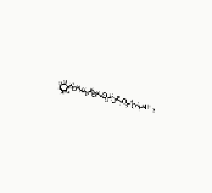 NCCOCCOCCOCCOCCOCCOCCOCc1ccccc1